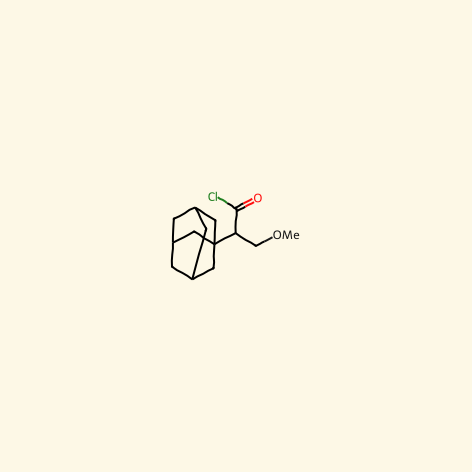 COCC(C(=O)Cl)C12CC3CC(CC(C3)C1)C2